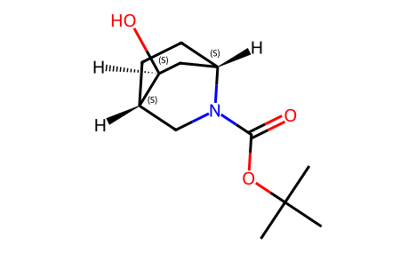 CC(C)(C)OC(=O)N1C[C@@H]2CC[C@H]1C[C@@H]2O